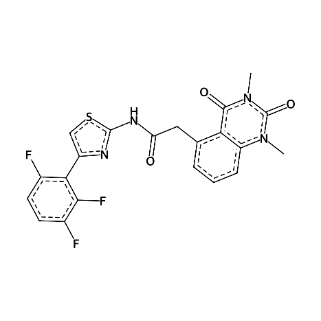 Cn1c(=O)c2c(CC(=O)Nc3nc(-c4c(F)ccc(F)c4F)cs3)cccc2n(C)c1=O